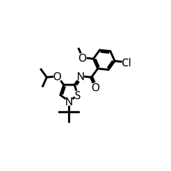 COc1ccc(Cl)cc1C(=O)/N=c1\sn(C(C)(C)C)cc1OC(C)C